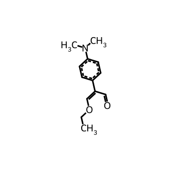 CCOC=C(C=O)c1ccc(N(C)C)cc1